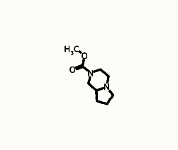 COC(=O)N1CCN2CCCC2C1